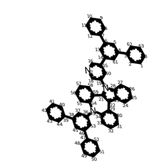 c1ccc(-c2cc(-c3ccccc3)cc(-c3cncc(-n4c5c(c6ccccc64)-c4ccccc4N(c4cc(-c6ccccc6)cc(-c6ccccc6)c4)c4ccccc4-5)c3)c2)cc1